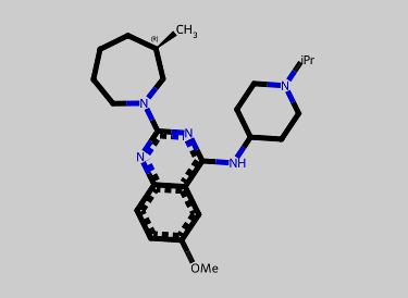 COc1ccc2nc(N3CCCC[C@@H](C)C3)nc(NC3CCN(C(C)C)CC3)c2c1